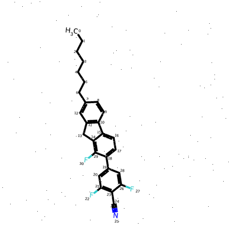 CCCCCCCc1ccc2c(c1)Cc1c-2ccc(-c2cc(F)c(C#N)c(F)c2)c1F